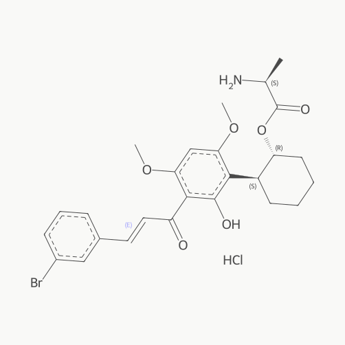 COc1cc(OC)c([C@@H]2CCCC[C@H]2OC(=O)[C@H](C)N)c(O)c1C(=O)/C=C/c1cccc(Br)c1.Cl